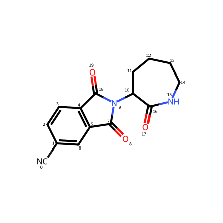 N#Cc1ccc2c(c1)C(=O)N(C1CCCCNC1=O)C2=O